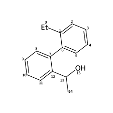 CCc1ccccc1-c1ccccc1C(C)O